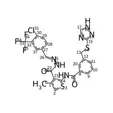 Cc1csc(NC(=O)c2cccc(CSc3nc[nH]n3)c2)c1C(=O)N/N=C/c1ccc(Cl)c(C(F)(F)F)c1